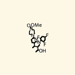 C=C(O)C1=CN(c2c(F)cc(F)cc2F)c2nc(N3CCN(C(=O)OC)CC3)ccc2C1=C